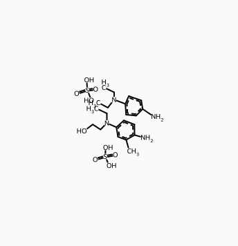 CCN(CC)c1ccc(N)cc1.CCN(CCO)c1ccc(N)c(C)c1.O=S(=O)(O)O.O=S(=O)(O)O